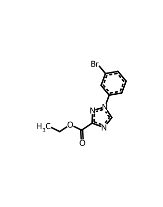 CCOC(=O)c1ncn(-c2cccc(Br)c2)n1